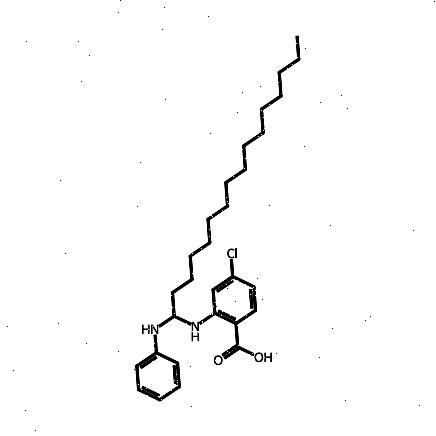 CCCCCCCCCCCCCCCC(Nc1ccccc1)Nc1cc(Cl)ccc1C(=O)O